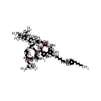 CCCCCCc1ccc(S(=O)(=O)NCCCCCCNCc2c(O)cc3c(c2C)-c2cc(ccc2O)[C@H]2NC(=O)[C@@H]4NC(=O)[C@H](CC(N)=O)NC(=O)[C@H](NC(=O)[C@@H](CC(C)C)NC)[C@H](O)c5ccc(c(C)c5)Oc5cc4cc(c5O[C@@H]4O[C@H](CO)[C@@H](O)[C@H](O)[C@H]4O[C@H]4C[C@](C)(NC(N)=O)[C@H](OC(N)=O)[C@H](C)O4)Oc4ccc(cc4Cl)[C@@H](O)[C@H](NC2=O)C(=O)N[C@@H]3C(=O)O)cc1